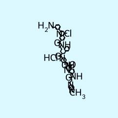 CN1CCN(CCC(=O)Nc2ccc3c(=O)n(CC4(O)CCN(C(=O)C(CCCNC(=O)c5ccc6c(Cl)cc(-c7cccc(CN)c7)nc6c5)Cc5ccccc5)CC4)cnc3c2)CC1.Cl